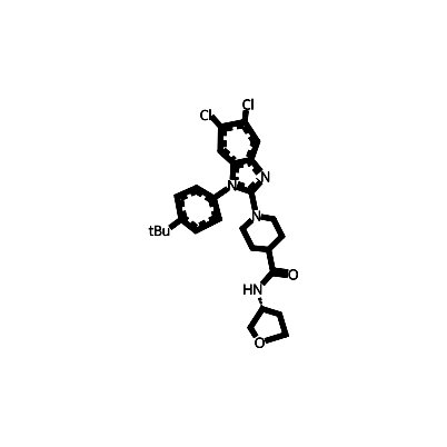 CC(C)(C)c1ccc(-n2c(N3CCC(C(=O)N[C@@H]4CCOC4)CC3)nc3cc(Cl)c(Cl)cc32)cc1